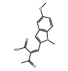 COc1ccc2c(c1)cc(C=C(C(C)=O)C(=O)O)n2C